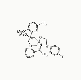 COc1ccc(C(F)(F)F)cc1[C@@]1(OC)COCC2(C1)OC[C@H](c1ccc(F)cc1)N2[C@@H](C)c1ccccc1